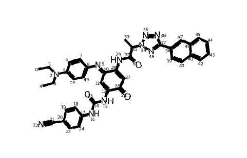 CCN(CC)c1ccc(N=C2C=C(NC(=O)Nc3ccc(C#N)cc3)C(=O)C=C2NC(=O)C(C)n2nnc(-c3ccc4ccccc4c3)n2)cc1